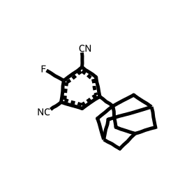 N#Cc1cc(C23CC4CC(CC(C4)C2)C3)cc(C#N)c1F